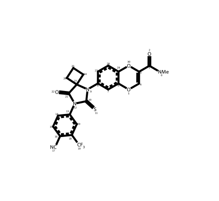 CNC(=O)C1=COc2cc(N3C(=S)N(c4ccc(C#N)c(C(F)(F)F)c4)C(=O)C34CCC4)ccc2O1